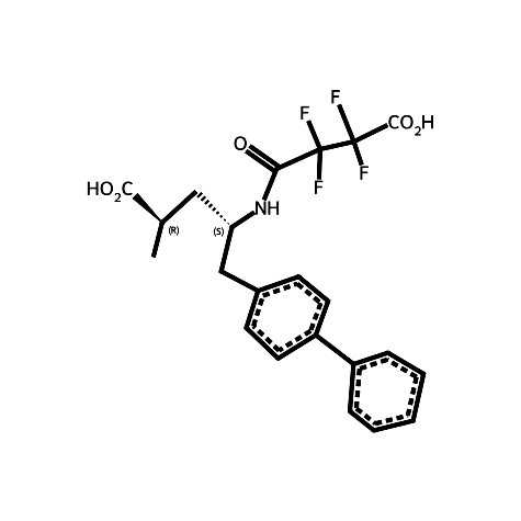 C[C@H](C[C@@H](Cc1ccc(-c2ccccc2)cc1)NC(=O)C(F)(F)C(F)(F)C(=O)O)C(=O)O